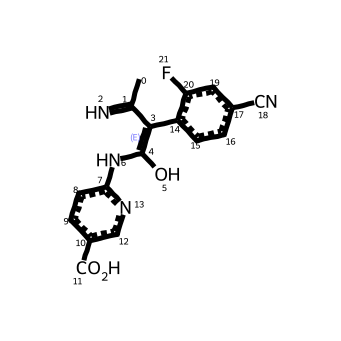 CC(=N)/C(=C(/O)Nc1ccc(C(=O)O)cn1)c1ccc(C#N)cc1F